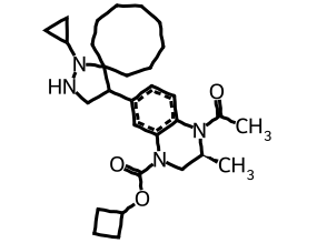 CC(=O)N1c2ccc(C3CNN(C4CC4)C34CCCCCCCC4)cc2N(C(=O)OC2CCC2)C[C@@H]1C